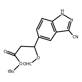 CC(C)(C)OC(=O)CC(OC=O)c1ccc2[nH]nc(C#N)c2c1